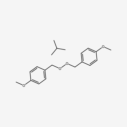 COc1ccc(COOCc2ccc(OC)cc2)cc1.C[C](C)C